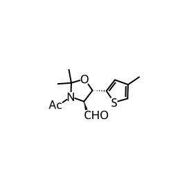 CC(=O)N1[C@H](C=O)[C@@H](c2cc(C)cs2)OC1(C)C